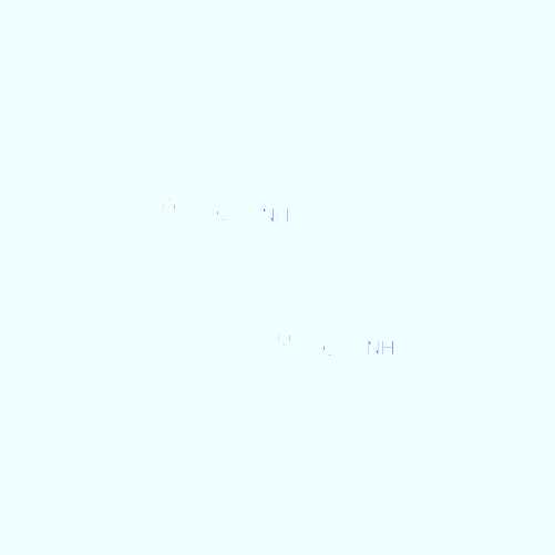 CCC.CCC.N=C=O.N=C=O